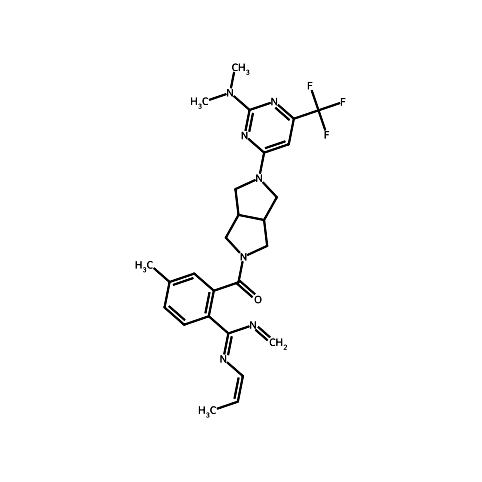 C=N/C(=N\C=C/C)c1ccc(C)cc1C(=O)N1CC2CN(c3cc(C(F)(F)F)nc(N(C)C)n3)CC2C1